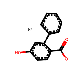 O=C([O-])c1ccc(O)cc1-c1ccccc1.[K+]